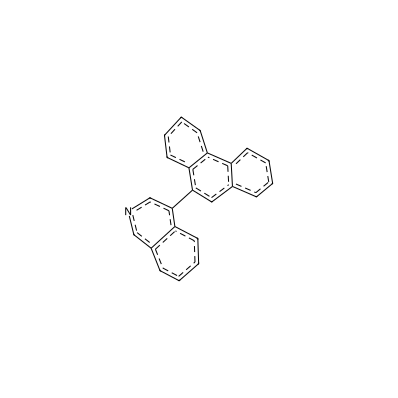 c1ccc2c(-c3cc4ccccc4c4ccccc34)cncc2c1